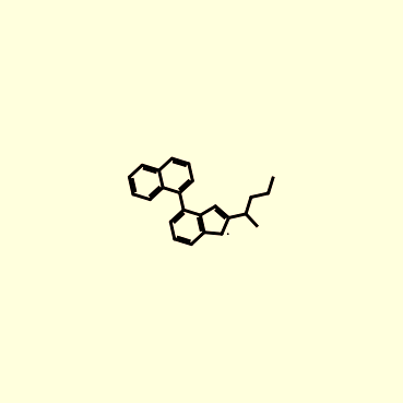 CCCC(C)C1=Cc2c(cccc2-c2cccc3ccccc23)[CH]1